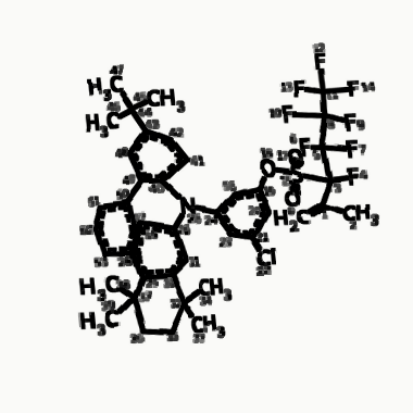 C=C(C)C(F)(C(F)(F)C(F)(F)C(F)(F)F)S(=O)(=O)Oc1cc(Cl)cc(N(c2ccc3c(c2)C(C)(C)CCC3(C)C)c2ccc(C(C)(C)C)cc2-c2ccccc2)c1